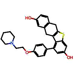 Oc1ccc2c(c1)Cc1c(sc3cc(O)cc(-c4ccc(OCCN5CCCCC5)cc4)c13)C2